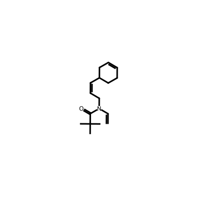 C=CN(C/C=C\C1CC=CCC1)C(=O)C(C)(C)C